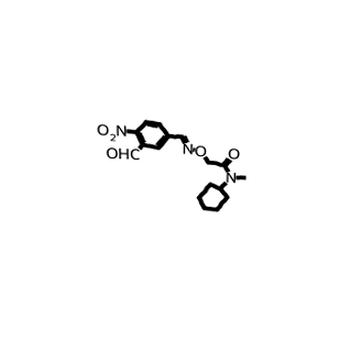 CN(C(=O)CON=Cc1ccc([N+](=O)[O-])c(C=O)c1)C1CCCCC1